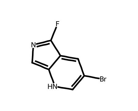 Fc1ncc2[nH]cc(Br)cc1-2